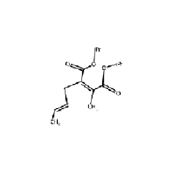 CC=CCC(C(=O)OC(C)C)=C(C)C(=O)OC(C)C